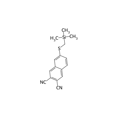 C[Si](C)(C)CSc1ccc2cc(C#N)c(C#N)cc2c1